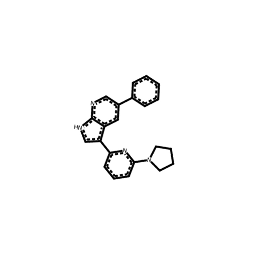 c1ccc(-c2cnc3[nH]cc(-c4cccc(N5CCCC5)n4)c3c2)cc1